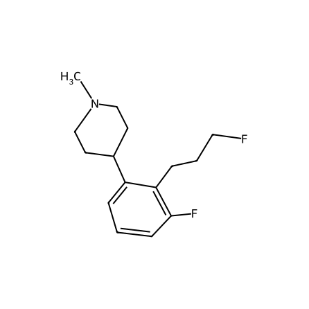 CN1CCC(c2cccc(F)c2CCCF)CC1